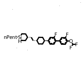 CCCCC[Si@H]1CC[C@H](CC[C@H]2CC[C@H](c3ccc(-c4ccc(OC(F)F)c(F)c4)c(F)c3)CC2)CC1